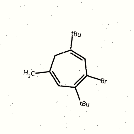 CC1=CC(C(C)(C)C)=C(Br)C=C(C(C)(C)C)C1